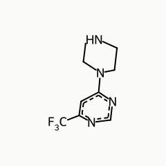 FC(F)(F)c1cc(N2CCNCC2)ncn1